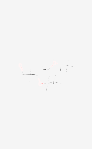 CC(C)(C=O)[C@H](CCO[Si](C)(C)C(C)(C)C)O[Si](C)(C)C(C)(C)C